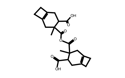 CC1(C(=O)OC(=O)C2(C)CC3=C(CC3)CC2C(=O)O)CC2=C(CC2)CC1C(=O)O